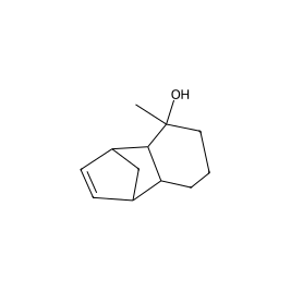 CC1(O)CCCC2C3C=CC(C3)C21